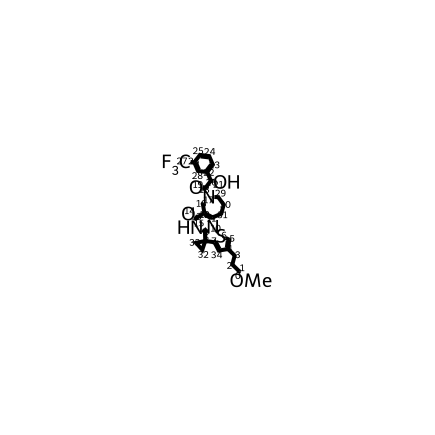 COCCCc1csc(C2(c3nc4c(c(=O)[nH]3)CN(C(=O)C(O)c3cccc(C(F)(F)F)c3)CCC4)CC2)c1